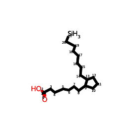 O=C(O)CCCCCCC1CCCC1CCCCCCC[SiH3]